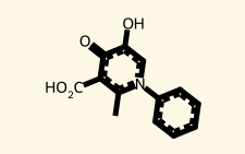 Cc1c(C(=O)O)c(=O)c(O)cn1-c1ccccc1